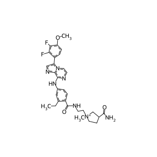 CCc1cc(Nc2nccn3c(-c4ccc(OC)c(F)c4F)cnc23)ccc1C(=O)NCC[N+]1(C)CCC(C(N)=O)C1